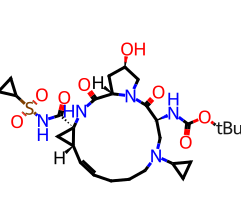 CC(C)(C)OC(=O)N[C@H]1CN(C2CC2)CCC/C=C\[C@@H]2C[C@@]2(C(=O)NS(=O)(=O)C2CC2)NC(=O)[C@@H]2C[C@@H](O)CN2C1=O